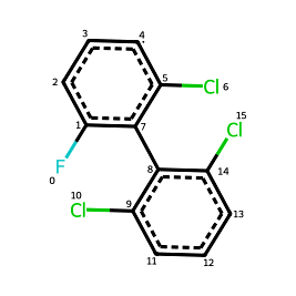 Fc1cc[c]c(Cl)c1-c1c(Cl)cccc1Cl